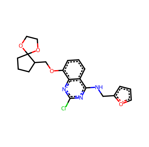 Clc1nc(NCc2ccco2)c2cccc(OCC3CCCC34OCCO4)c2n1